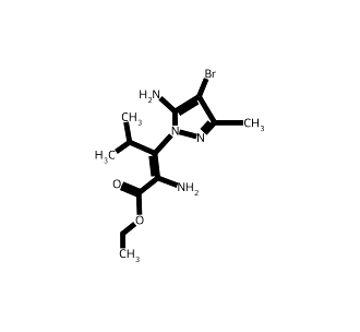 CCOC(=O)/C(N)=C(\C(C)C)n1nc(C)c(Br)c1N